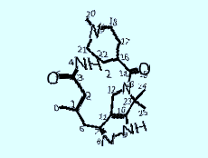 CC(CC(N)=O)Cc1n[nH]c2c1CN(C(=O)C1CCN(C)CC1)C2(C)C